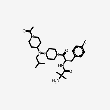 CC(=O)N1CCC(N(CC(C)C)N2CCN(C(=O)[C@@H](Cc3ccc(Cl)cc3)NC(=O)C(C)(C)N)CC2)CC1